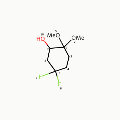 COC1(OC)CCC(F)(F)CC1O